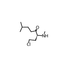 CN[C@@H](CCCl)C(=O)CCC(C)C